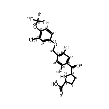 O=C(O)C1CCC(C(=O)c2cc(Cl)c(COc3ccc(OC(F)(F)F)c(Cl)c3)cc2F)N1